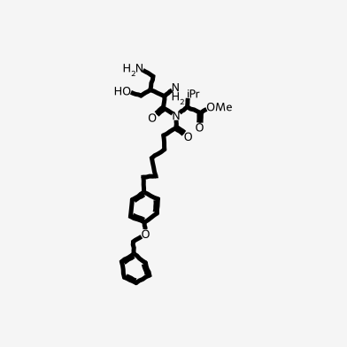 COC(=O)C(C(C)C)N(C(=O)CCCCCc1ccc(OCc2ccccc2)cc1)C(=O)C(N)C(CN)CO